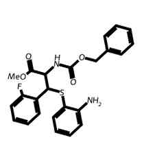 COC(=O)C(NC(=O)OCc1ccccc1)C(Sc1ccccc1N)c1ccccc1F